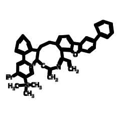 C=C/C1=N/C(=C)CC2C(CCc3ccc4c(oc5ccc(-c6ccccc6)cc54)c31)c1ccccc1-c1cc(C(C)C)c([Si](C)(C)C)c[n+]12